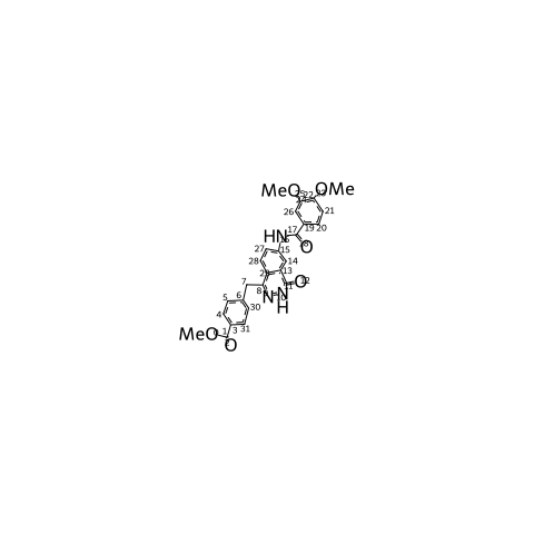 COC(=O)c1ccc(Cc2n[nH]c(=O)c3cc(NC(=O)c4ccc(OC)c(OC)c4)ccc23)cc1